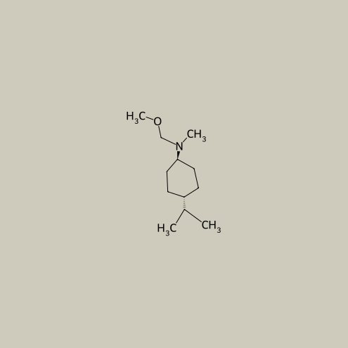 COCN(C)[C@H]1CC[C@H](C(C)C)CC1